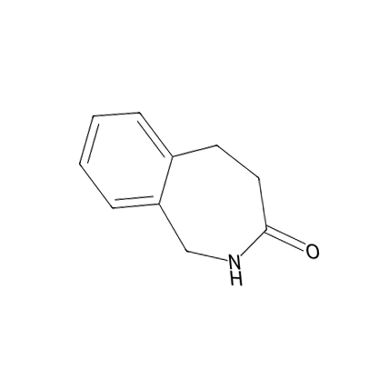 O=C1CCc2ccccc2CN1